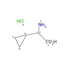 Cl.NC(C(=O)O)C1CC1